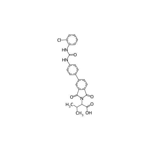 CC(C)C(C(=O)O)N1C(=O)c2ccc(-c3ccc(NC(=O)Nc4ccccc4Cl)cc3)cc2C1=O